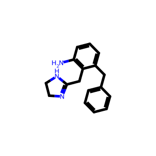 Nc1cccc(Cc2ccccc2)c1CC1=NCCN1